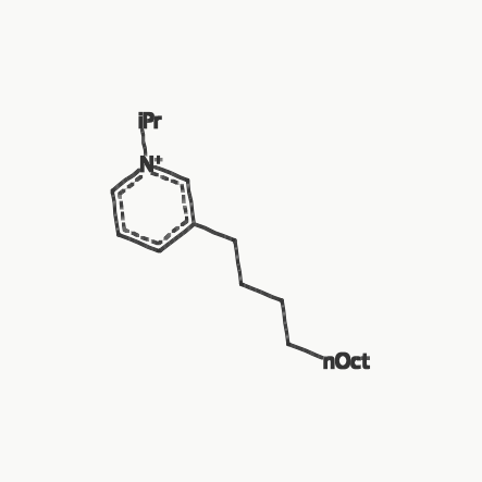 CCCCCCCCCCCCc1ccc[n+](C(C)C)c1